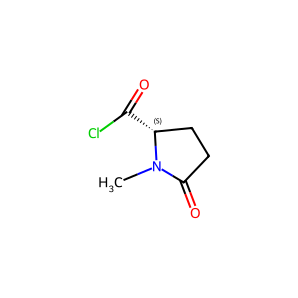 CN1C(=O)CC[C@H]1C(=O)Cl